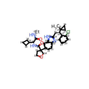 CCNC(=O)[C@H](NC(=O)C1(c2ccc3nc(C[C@H](c4ccccc4Cl)C4(C)CC4)[nH]c3c2)CCOC1)C1CCC1